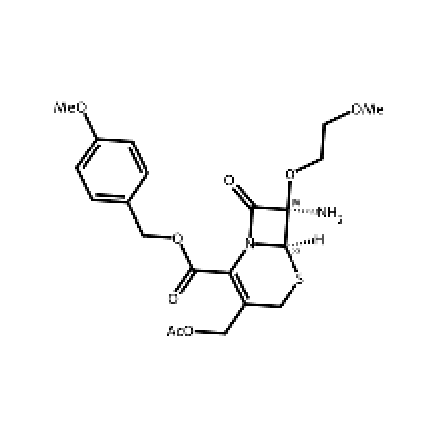 COCCO[C@]1(N)C(=O)N2C(C(=O)OCc3ccc(OC)cc3)=C(COC(C)=O)CS[C@@H]21